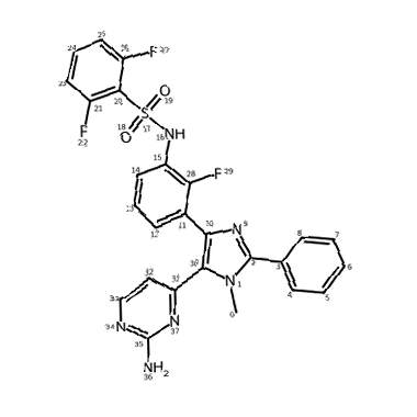 Cn1c(-c2ccccc2)nc(-c2cccc(NS(=O)(=O)c3c(F)cccc3F)c2F)c1-c1ccnc(N)n1